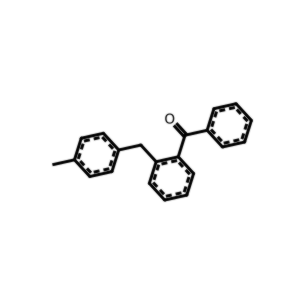 Cc1ccc(Cc2ccccc2C(=O)c2ccccc2)cc1